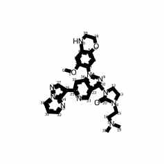 COc1cc2c(cc1-n1nc(N3CCN(CCN(C)C)C3=O)c3cnc(-c4cnn5cccnc45)cc31)OCCN2